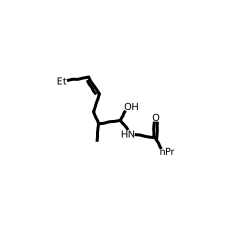 CC/C=C\CC(C)C(O)NC(=O)CCC